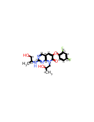 CC(O)Cn1c(=O)c(Oc2ccc(F)cc2F)cc2cnc(NC(C)CO)nc21